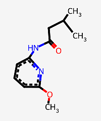 COc1cccc(NC(=O)CC(C)C)n1